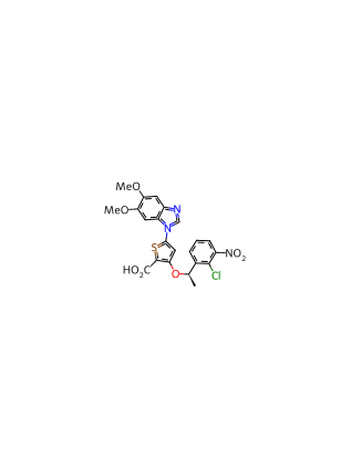 COc1cc2ncn(-c3cc(O[C@H](C)c4cccc([N+](=O)[O-])c4Cl)c(C(=O)O)s3)c2cc1OC